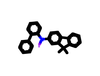 CC1(C)c2ccccc2-c2ccc(N(I)c3ccccc3-c3ccccc3)cc21